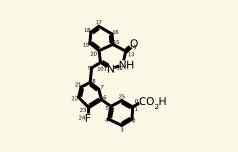 O=C(O)c1cccc(-c2cc(Cc3n[nH]c(=O)c4ccccc34)ccc2F)c1